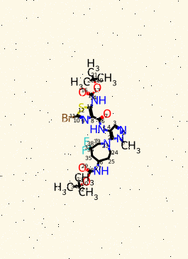 Cn1ncc(NC(=O)c2nc(Br)sc2NC(=O)OC(C)(C)C)c1N1CCC(NC(=O)OC(C)(C)C)CC(F)(F)C1